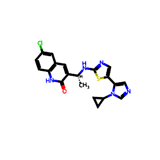 C[C@@H](Nc1ncc(-c2cncn2C2CC2)s1)c1cc2cc(Cl)ccc2[nH]c1=O